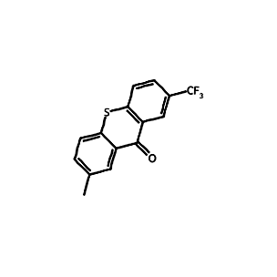 Cc1ccc2sc3ccc(C(F)(F)F)cc3c(=O)c2c1